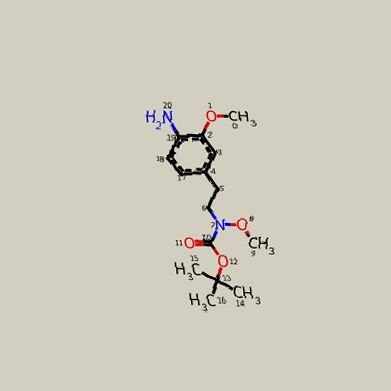 COc1cc(CCN(OC)C(=O)OC(C)(C)C)ccc1N